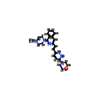 CCN1CCN(c2nc(C=Cc3ccc(N4CCOCC4)nn3)cc3ccccc23)CC1